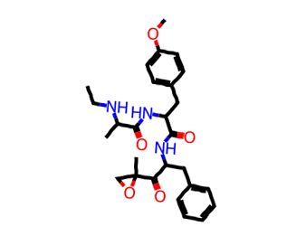 CCNC(C)C(=O)NC(Cc1ccc(OC)cc1)C(=O)NC(Cc1ccccc1)C(=O)C1(C)CO1